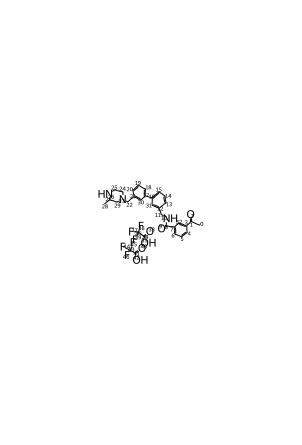 CC(=O)c1cccc(C(=O)NCc2cccc(-c3cccc(CN4CCNC(C)C4)c3)c2)c1.O=C(O)C(F)(F)F.O=C(O)C(F)(F)F